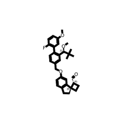 COc1ccc(F)c(-c2ccc(COc3ccc4c(c3)[C@@]3(CC4)CC[C@H]3C=O)cc2[C@@H](OC)C(C)(C)C)c1